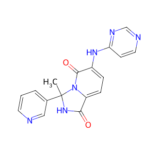 CC1(c2cccnc2)NC(=O)c2ccc(Nc3ccncn3)c(=O)n21